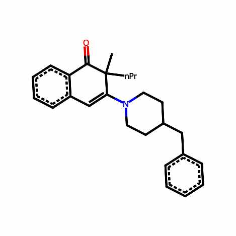 CCCC1(C)C(=O)c2ccccc2C=C1N1CCC(Cc2ccccc2)CC1